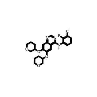 Fc1c(Cl)cccc1Nc1ncnc2cc(OC3CCCOC3)c(OC3CCCOC3)cc12